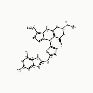 CCOC(=O)c1[nH]cc2c1NC1=C(C(=O)CN(OC(C)(C)C)C1)C2c1ccc(Sc2nc3cc(Cl)cc(C)c3[nH]2)o1